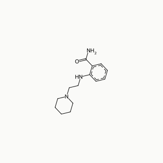 NC(=O)c1ccccc1NCCN1CCCCC1